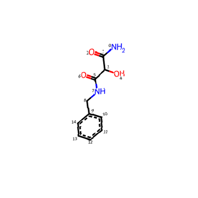 NC(=O)C(O)C(=O)NCc1ccccc1